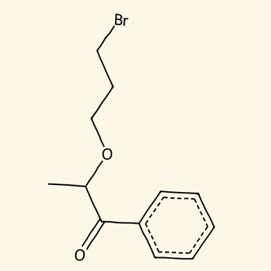 CC(OCCCBr)C(=O)c1ccccc1